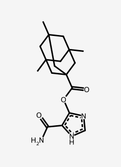 CC12CC3(C)CC(C)(C1)CC(C(=O)Oc1nc[nH]c1C(N)=O)(C2)C3